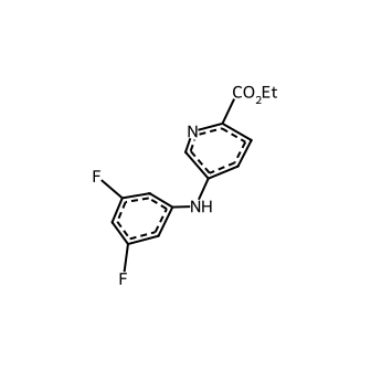 CCOC(=O)c1ccc(Nc2cc(F)cc(F)c2)cn1